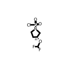 O=S(=O)(Cl)N1CC[C@@H](OC(F)F)C1